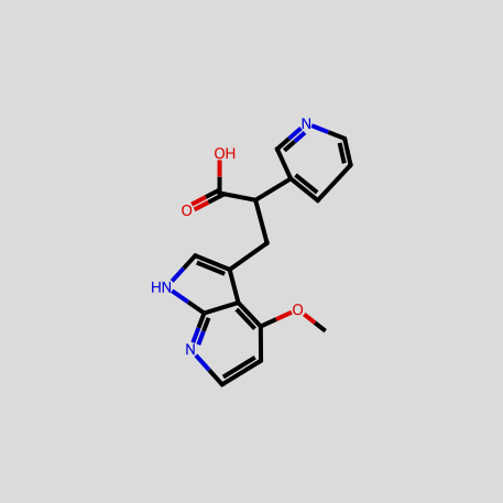 COc1ccnc2[nH]cc(CC(C(=O)O)c3cccnc3)c12